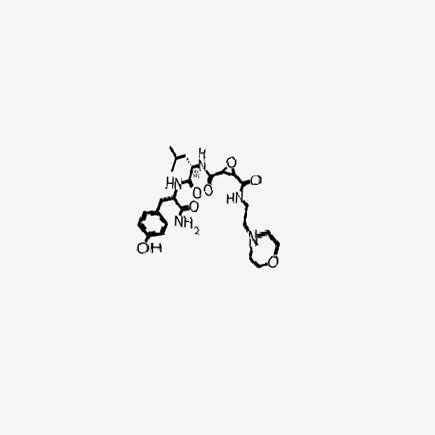 CC(C)C[C@H](NC(=O)C1OC1C(=O)NCCN1CCOCC1)C(=O)NC(Cc1ccc(O)cc1)C(N)=O